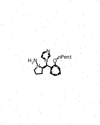 CCCCCOc1ccccc1C(=C1CCCN1N)n1ccnc1